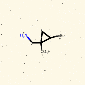 CCCCC1CC1(CN)C(=O)O